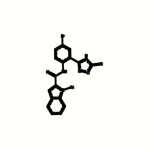 CCn1c(C(=O)Nc2ccc(Br)cc2-c2noc(=O)[nH]2)cc2ccccc21